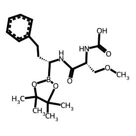 COC[C@@H](NC(=O)O)C(=O)N[C@@H](CCc1ccccc1)B1OC(C)(C)C(C)(C)O1